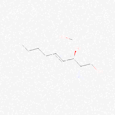 CCCCCCCCCCCCC/C=C/[C@@H](O)[C@@H](N)CO.O=S(=O)(O)O